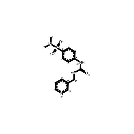 CN(C)S(=O)(=O)c1ccc(NC(=O)SCc2cccnc2)cc1